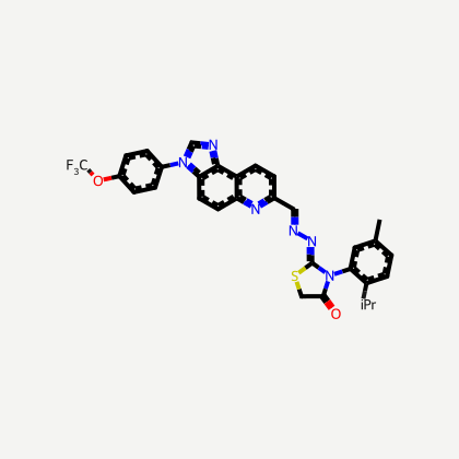 Cc1ccc(C(C)C)c(N2C(=O)CSC2=NN=Cc2ccc3c(ccc4c3ncn4-c3ccc(OC(F)(F)F)cc3)n2)c1